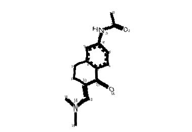 CC(=O)Nc1ccc2c(c1)CCC(=CN(C)C)C2=O